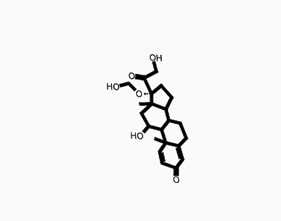 CC12C=CC(=O)C=C1CCC1C2C(O)CC2(C)C1CC[C@]2(OCO)C(=O)CO